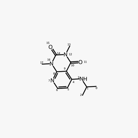 CC(C)Nc1ccnc2c1c(=O)n(C)c(=O)n2C